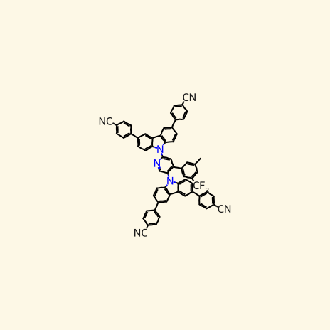 Cc1cc(-c2cc(-n3c4ccc(-c5ccc(C#N)cc5)cc4c4cc(-c5ccc(C#N)cc5)ccc43)ncc2-n2c3ccc(-c4ccc(C#N)cc4)cc3c3cc(-c4ccc(C#N)cc4)ccc32)cc(C(F)(F)F)c1